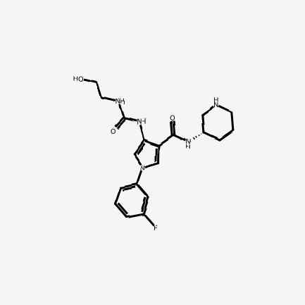 O=C(NCCO)Nc1cn(-c2cccc(F)c2)cc1C(=O)N[C@H]1CCCNC1